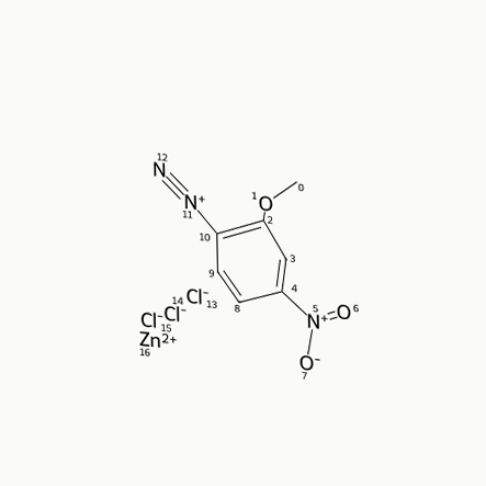 COc1cc([N+](=O)[O-])ccc1[N+]#N.[Cl-].[Cl-].[Cl-].[Zn+2]